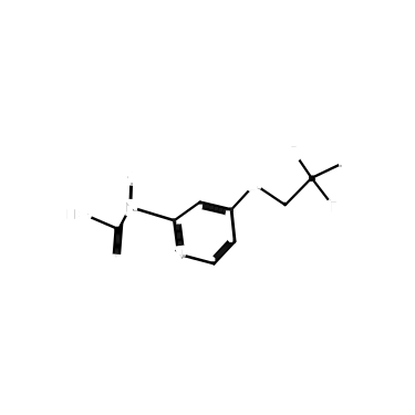 CN(C(=O)O)c1cc(SCC(F)(F)F)ccn1